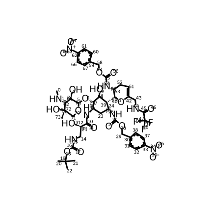 CN[C@@H]1[C@@H](O)[C@@H](O[C@H]2[C@H](NC(=O)[C@H](O)CNC(=O)OC(C)(C)C)C[C@H](NC(=O)OCc3ccc([N+](=O)[O-])cc3)C([C@H]3OC(CNC(=O)C(F)(F)F)=CC[C@H]3NC(=O)OCc3ccc([N+](=O)[O-])cc3)[C@@H]2O)OC[C@]1(C)O